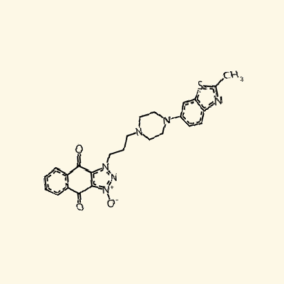 Cc1nc2ccc(N3CCN(CCCn4n[n+]([O-])c5c4C(=O)c4ccccc4C5=O)CC3)cc2s1